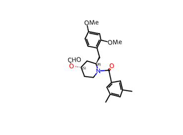 COc1ccc(C[C@@H]2C[C@@H](OC=O)CCN2C(=O)c2cc(C)cc(C)c2)c(OC)c1